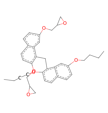 CCCCOc1ccc2ccc(OCCCC)c(Cc3c(OCC4CO4)ccc4ccc(OCC5CO5)cc34)c2c1